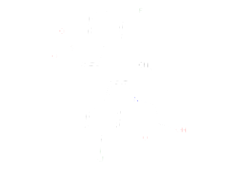 Cc1c(C2=CS(=O)(=O)c3ccc(F)cc32)c2ccc(Cl)cc2n1CC(=O)O